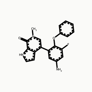 Cn1cc(-c2cc(N)cc(F)c2Oc2ccccc2)c2cc[nH]c2c1=O